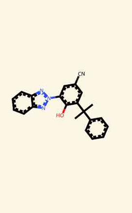 CC(C)(c1ccccc1)c1cc(C#N)cc(-n2nc3ccccc3n2)c1O